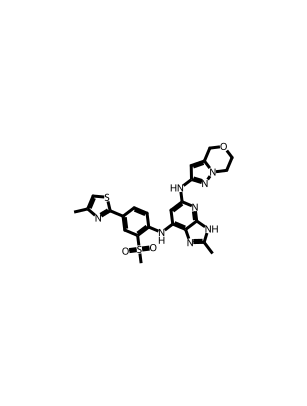 Cc1csc(-c2ccc(Nc3cc(Nc4cc5n(n4)CCOC5)nc4[nH]c(C)nc34)c(S(C)(=O)=O)c2)n1